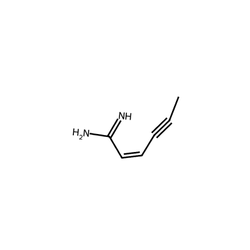 CC#C/C=C\C(=N)N